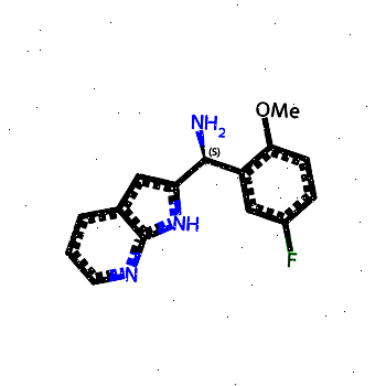 COc1ccc(F)cc1[C@H](N)c1cc2cccnc2[nH]1